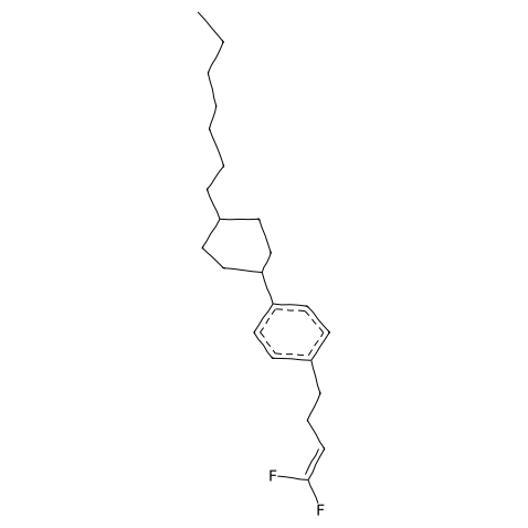 CCCCCCCC1CCC(c2ccc(CCC=C(F)F)cc2)CC1